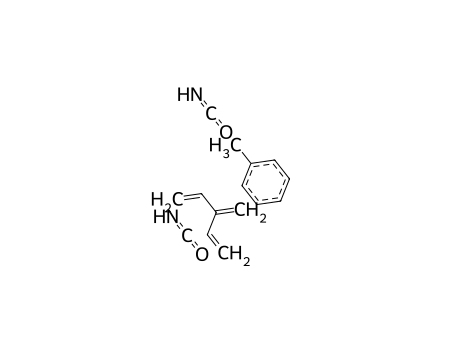 C=CC(=C)C=C.Cc1ccccc1.N=C=O.N=C=O